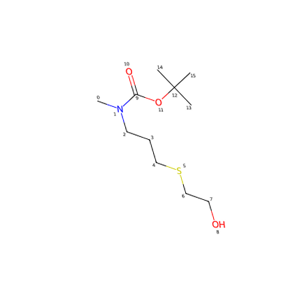 CN(CCCSCCO)C(=O)OC(C)(C)C